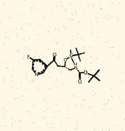 CC(C)(C)OC(=O)NC[C@@H](CC(=O)c1cncc(F)c1)O[Si](C)(C)C(C)(C)C